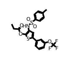 CCC(=O)Oc1sc(-c2cccc(OC(F)(F)F)c2)cc1NS(=O)(=O)c1ccc(C)cc1